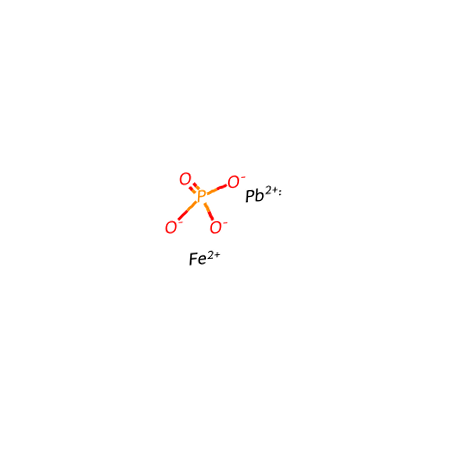 O=P([O-])([O-])[O-].[Fe+2].[Pb+2]